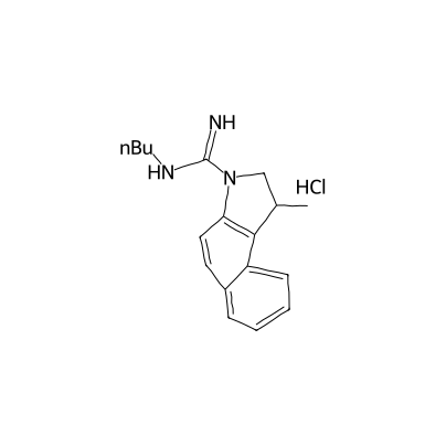 CCCCNC(=N)N1CC(C)c2c1ccc1ccccc21.Cl